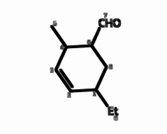 CCC1C=CC(C)C(C=O)C1